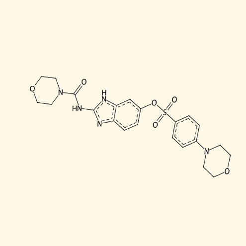 O=C(Nc1nc2ccc(OS(=O)(=O)c3ccc(N4CCOCC4)cc3)cc2[nH]1)N1CCOCC1